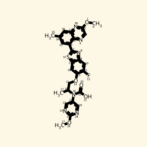 COc1cnc2c(-c3nc4cc(F)c(OCC(C)N(C(=O)O)c5cnc(OC)nc5)cc4s3)cc(C)cc2n1